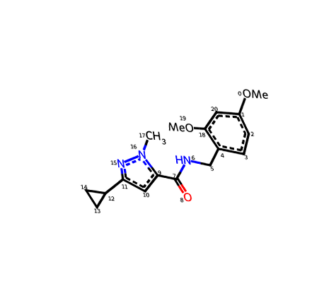 COc1ccc(CNC(=O)c2cc(C3CC3)nn2C)c(OC)c1